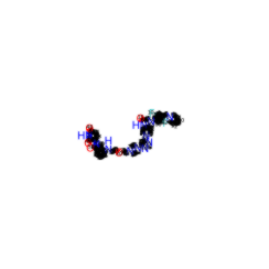 CC1(C)CCN(Cc2cc(F)c(N3CC(=O)NC4(CCN(c5cc(N6CCN(CCOCCNc7cccc8c7CN(C7CCC(=O)NC7=O)C8=O)CC6)ncn5)CC4)C3)cc2F)CC1